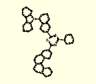 c1ccc(-c2nc(-c3ccc4c(-n5c6ccccc6c6ccccc65)cccc4c3)nc(-c3ccc4c(ccc5ccc6ccccc6c54)c3)n2)cc1